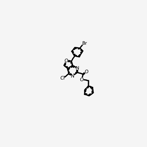 O=C(OCc1ccccc1)c1nc(Cl)c2coc(-c3ccc(Br)cc3)c2n1